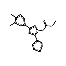 COC(=O)Cn1nc(-c2ccc(C)c(C)c2)cc1-c1ccccc1